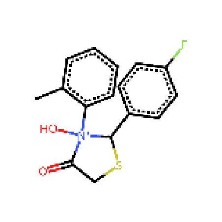 Cc1ccccc1[N+]1(O)C(=O)CSC1c1ccc(F)cc1